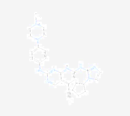 C#Cc1cc(Nc2nccn2C2CCCC2)nc2nc(Nc3ccc(N4CCN(C)CC4)cc3)ncc12